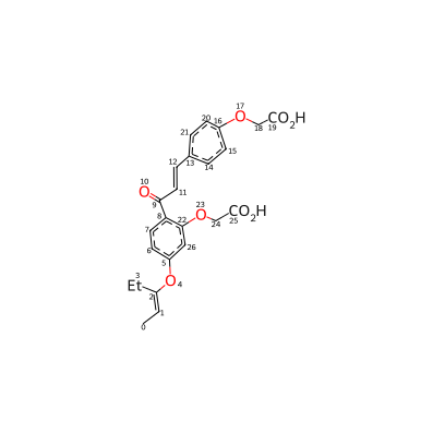 C/C=C(\CC)Oc1ccc(C(=O)/C=C/c2ccc(OCC(=O)O)cc2)c(OCC(=O)O)c1